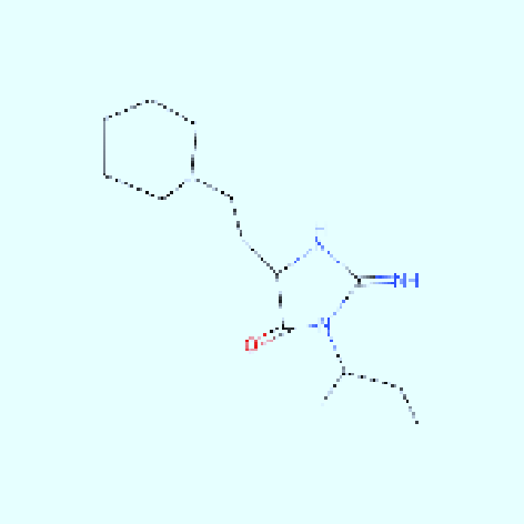 CCC(C)N1C(=N)NC(CCC2CCCCC2)C1=O